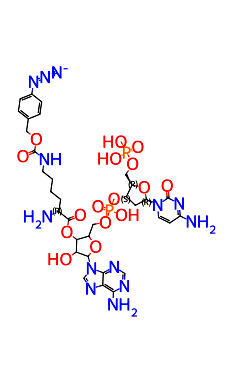 [N-]=[N+]=Nc1ccc(COC(=O)NCCCC[C@@H](N)C(=O)OC2C(COP(=O)(O)O[C@H]3C[C@H](n4ccc(N)nc4=O)O[C@@H]3COP(=O)(O)O)OC(n3cnc4c(N)ncnc43)C2O)cc1